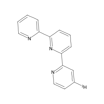 [2H]c1ccnc(-c2cccc(-c3ccccn3)n2)c1